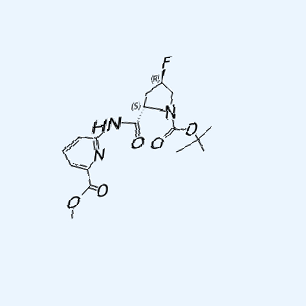 COC(=O)c1cccc(NC(=O)[C@@H]2C[C@@H](F)CN2C(=O)OC(C)(C)C)n1